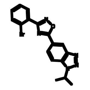 CC(C)n1nnc2cc(-c3nc(-c4ccccc4Br)no3)ccc21